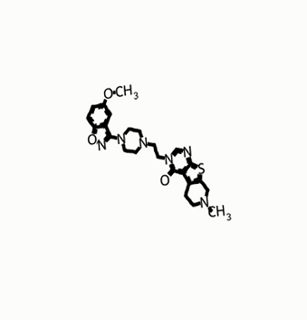 COc1ccc2onc(N3CCN(CCn4cnc5sc6c(c5c4=O)CCN(C)C6)CC3)c2c1